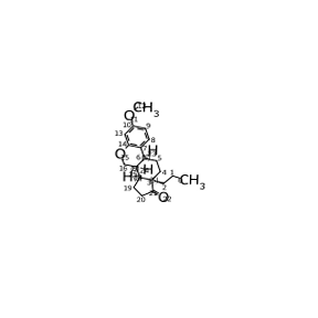 CCC[C@]12CC[C@@H]3c4ccc(OC)cc4OC[C@@H]3[C@@H]1CCC2=O